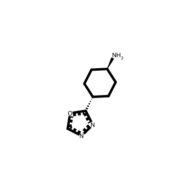 N[C@H]1CC[C@H](c2nnco2)CC1